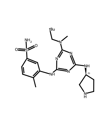 Cc1ccc(S(N)(=O)=O)cc1Nc1nc(N[C@H]2CCNC2)nc(N(C)CC(C)(C)C)n1